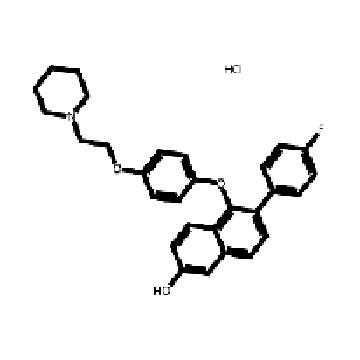 Cl.Oc1ccc2c(Oc3ccc(OCCN4CCCCC4)cc3)c(-c3ccc(F)cc3)ccc2c1